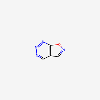 c1nnnc2oncc12